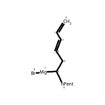 C=CC=CC[CH](CCCCC)[Mg][Br]